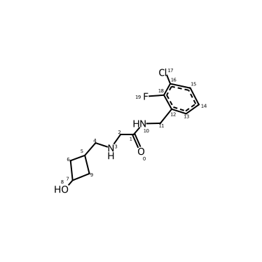 O=C(CNCC1CC(O)C1)NCc1cccc(Cl)c1F